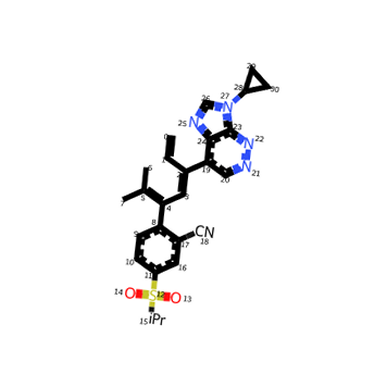 C=C/C(=C\C(=C(C)C)c1ccc(S(=O)(=O)C(C)C)cc1C#N)c1cnnc2c1ncn2C1CC1